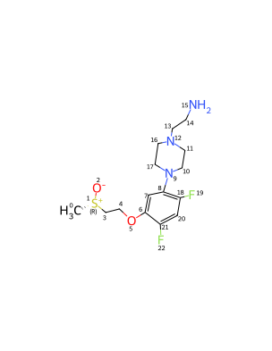 C[S@+]([O-])CCOc1cc(N2CCN(CCN)CC2)c(F)cc1F